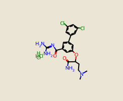 CN(C)CCC(Oc1cc(C(=O)N=C(N)N)cc(-c2cc(Cl)cc(Cl)c2)c1)C(N)=O.Cl.Cl